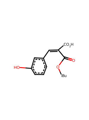 CCC(C)OC(=O)C(=Cc1cccc(O)c1)C(=O)O